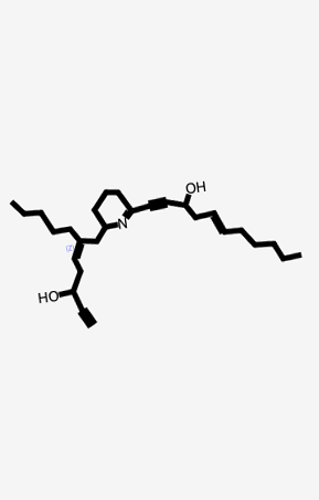 C#CC(O)C/C=C(/CCCCC)CC1CCCC(C#CC(O)CC=CCCCCC)=N1